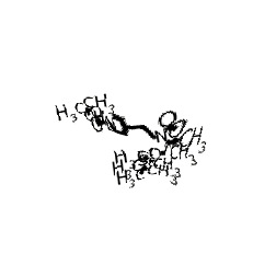 CC(C)(C)OC(=O)N1CCC(CCN2C(=O)OC(C)(C)[C@H]2CO[Si](C)(C)C(C)(C)C)CC1